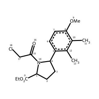 CCOC(=O)C1CCC(c2ccc(OC)c(C)c2C)N1C(=O)CCl